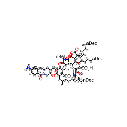 CCCCCCCCCCCCCCCCC(C)CC(C(=O)OCCNC(=O)c1ccc(N(C)C)cc1)C(C(=O)O)C(CCCCCCCCCCCCCCCC)CC1C(=O)N(CCCC)C(=O)C1C(CCCCCCCCCCCCCCCC)CC(C(=O)NCCCC)C(C(=O)O)C(CCCCCCCCCCCCCCCC)CC1C(=O)OC(=O)C1C